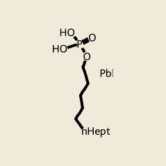 CCCCCCCCCCCCOP(=O)(O)O.[Pb]